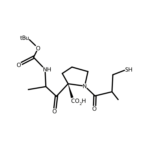 CC(CS)C(=O)N1CCC[C@@]1(C(=O)O)C(=O)C(C)NC(=O)OC(C)(C)C